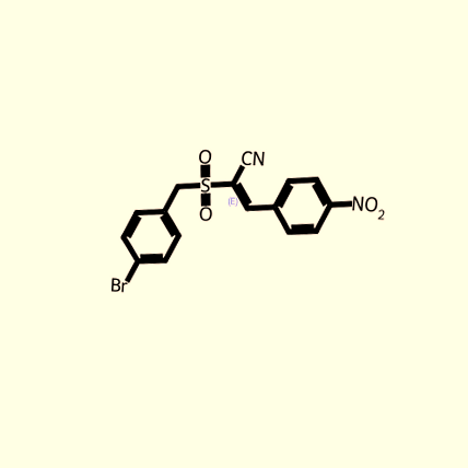 N#C/C(=C\c1ccc([N+](=O)[O-])cc1)S(=O)(=O)Cc1ccc(Br)cc1